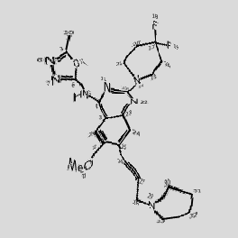 COc1cc2c(Nc3nnc(C)o3)nc(N3CCC(F)(F)CC3)nc2cc1C#CCN1CCCC1